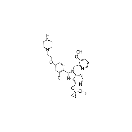 COc1cccnc1Cn1c(-c2ccc(OCCN3CCNCC3)cc2Cl)nc2c(OC3(C)CC3)ncnc21